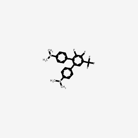 CN(C)c1ccc(-c2cc(C(F)(F)F)c(F)c(F)c2-c2ccc(N(C)C)cc2)cc1